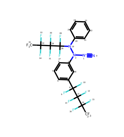 N#[N+]N(c1cccc(C(F)(F)C(F)(F)C(F)(F)C(F)(F)F)c1)N(c1ccccc1)C(F)(F)C(F)(F)C(F)(F)C(F)(F)F